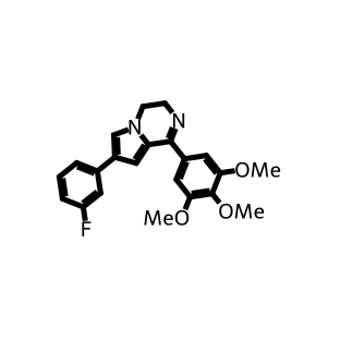 COc1cc(C2=NCCn3cc(-c4cccc(F)c4)cc32)cc(OC)c1OC